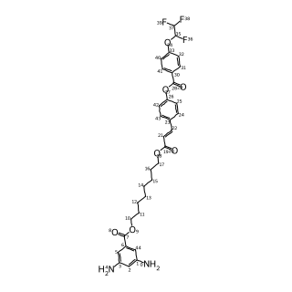 Nc1cc(N)cc(C(=O)OCCCCCCCCOC(=O)C=Cc2ccc(OC(=O)c3ccc(OC(F)C(F)F)cc3)cc2)c1